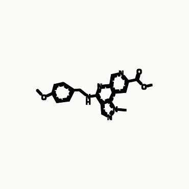 COC(=O)c1cc2c(cn1)nc(NCc1ccc(OC)cc1)c1cnn(C)c12